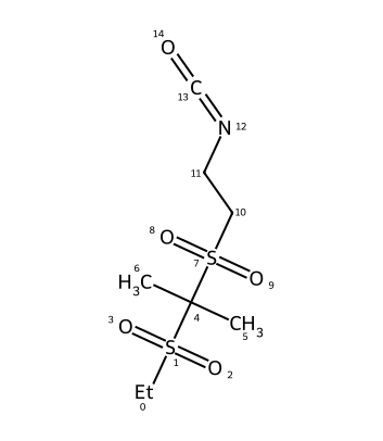 CCS(=O)(=O)C(C)(C)S(=O)(=O)CCN=C=O